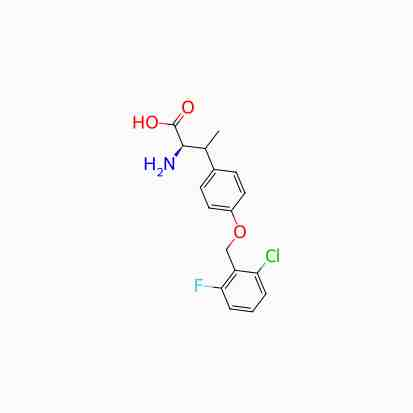 CC(c1ccc(OCc2c(F)cccc2Cl)cc1)[C@@H](N)C(=O)O